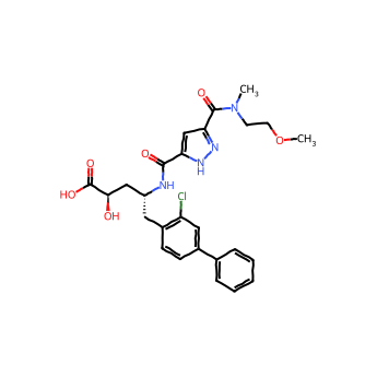 COCCN(C)C(=O)c1cc(C(=O)N[C@H](Cc2ccc(-c3ccccc3)cc2Cl)C[C@@H](O)C(=O)O)[nH]n1